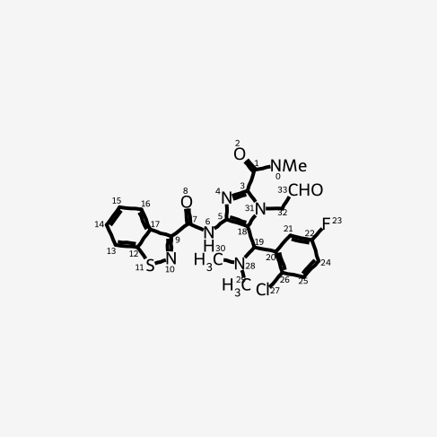 CNC(=O)c1nc(NC(=O)c2nsc3ccccc23)c(C(c2cc(F)ccc2Cl)N(C)C)n1CC=O